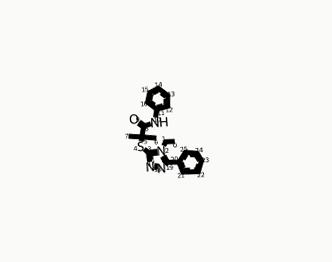 CCn1c(SC(C)(C)C(=O)Nc2ccccc2)nnc1-c1ccccc1